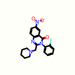 O=c1c2cc([N+](=O)[O-])ccc2nc(CN2CCCCC2)n1-c1ccccc1F